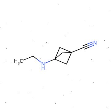 CCNC12CC(C#N)(C1)C2